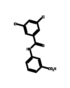 O=C(O)c1cccc(NC(=O)c2cc(Cl)cc(Cl)c2)c1